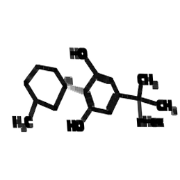 CCCCCCC(C)(C)c1cc(O)c([C@H]2CCCC(C)C2)c(O)c1